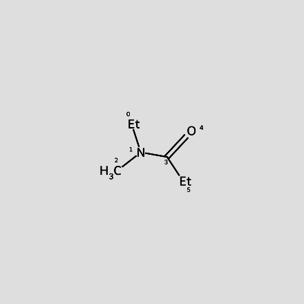 [CH2]CN(C)C(=O)CC